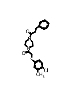 Cc1cc(SCC(=O)N2CCN(C(=O)CCc3ccccc3)CC2)ccc1Cl